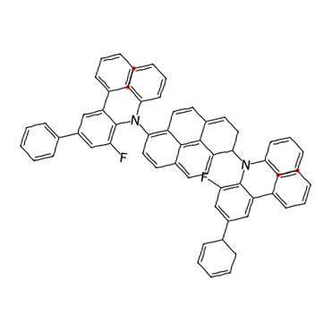 Fc1cc(-c2ccccc2)cc(-c2ccccc2)c1N(c1ccccc1)c1ccc2ccc3c4c(ccc1c24)=CCC3N(c1ccccc1)c1c(F)cc(C2C=CC=CC2)cc1-c1ccccc1